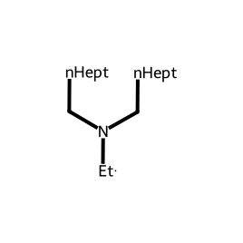 C[CH]N(CCCCCCCC)CCCCCCCC